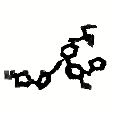 COc1ccc([C@]2(C#Cc3ccc(N4C=NC(C)O4)s3)CC[C@@H](NC(=O)OC(C)(C)C)CC2)cc1OC1CCCC1